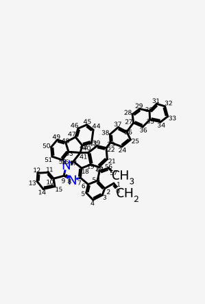 C=Cc1cccc(-c2nc(-c3ccccc3)nc3c2-c2ccc(-c4ccc(-c5ccc6ccccc6c5)cc4)cc2C32c3ccccc3-c3ccccc32)c1/C=C\C